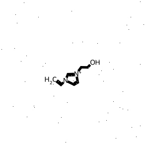 C=Cn1cc[n+](CCO)c1